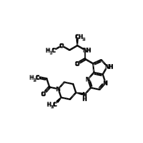 C=CC(=O)N1CC[C@@H](Nc2cnc3[nH]cc(C(=O)N[C@H](C)COC)c3n2)C[C@H]1C